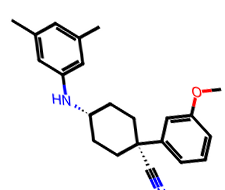 COc1cccc([C@]2(C#N)CC[C@@H](Nc3cc(C)cc(C)c3)CC2)c1